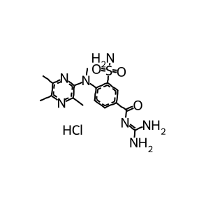 Cc1nc(C)c(N(C)c2ccc(C(=O)N=C(N)N)cc2S(N)(=O)=O)nc1C.Cl